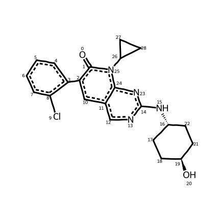 O=c1c(-c2ccccc2Cl)cc2cnc(N[C@H]3CC[C@H](O)CC3)nc2n1C1CC1